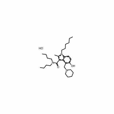 CCCCCCn1c(C)c(C(=O)N(CCCC)CCCC)c2c(CN3CCCCC3)c(O)ccc21.Cl